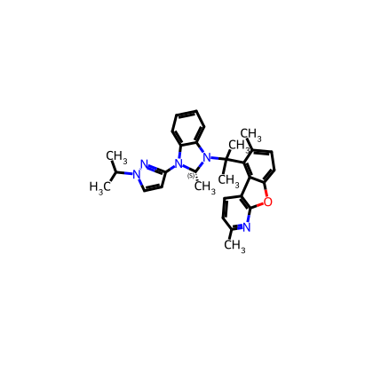 Cc1ccc2c(n1)oc1ccc(C)c(C(C)(C)N3c4ccccc4N(c4ccn(C(C)C)n4)[C@H]3C)c12